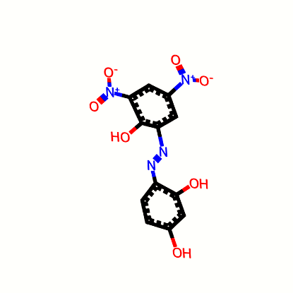 O=[N+]([O-])c1cc(N=Nc2ccc(O)cc2O)c(O)c([N+](=O)[O-])c1